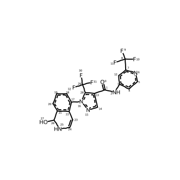 O=C(Nc1ccnc(C(F)(F)F)c1)c1cnn(-c2cccc3c2C=CNC3O)c1C(F)(F)F